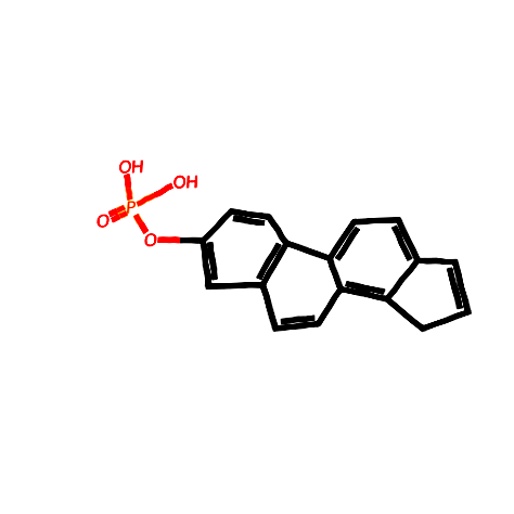 O=P(O)(O)Oc1ccc2c(ccc3c4c(ccc32)C=CC4)c1